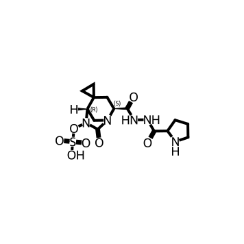 O=C(NNC(=O)[C@@H]1CC2(CC2)[C@@H]2CN1C(=O)N2OS(=O)(=O)O)C1CCCN1